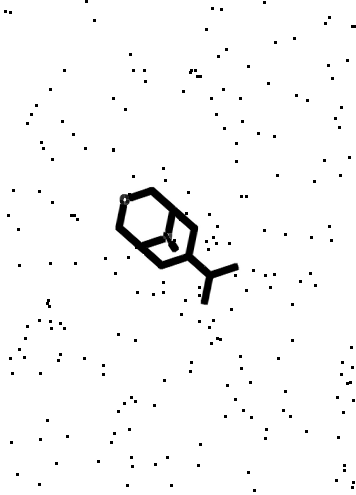 CC(C)C1CC2COCC(C1)N2C